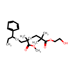 CC[CH]([Co][CH2][C](C)([Co][CH2]C(C)(C)C(=O)OCCO)C(=O)OC)c1ccccc1